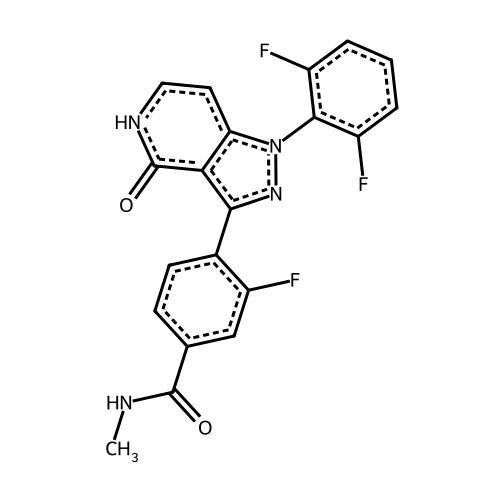 CNC(=O)c1ccc(-c2nn(-c3c(F)cccc3F)c3cc[nH]c(=O)c23)c(F)c1